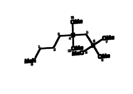 CNCCC[Si](C[Si](OC)(OC)OC)(OC)OC